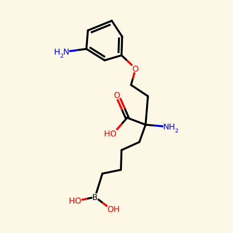 Nc1cccc(OCCC(N)(CCCCB(O)O)C(=O)O)c1